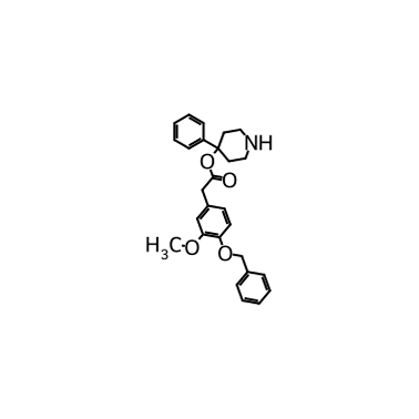 COc1cc(CC(=O)OC2(c3ccccc3)CCNCC2)ccc1OCc1ccccc1